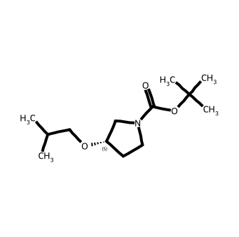 CC(C)CO[C@H]1CCN(C(=O)OC(C)(C)C)C1